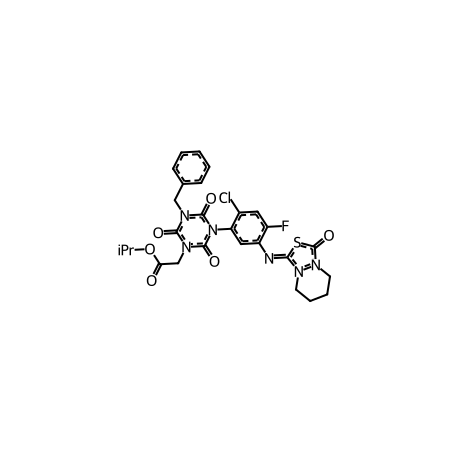 CC(C)OC(=O)Cn1c(=O)n(Cc2ccccc2)c(=O)n(-c2cc(N=c3sc(=O)n4n3CCCC4)c(F)cc2Cl)c1=O